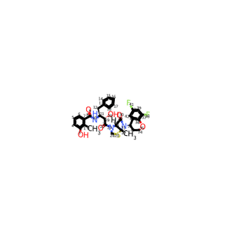 Cc1c(O)cccc1C(=O)N[C@@H](Cc1ccccc1)[C@H](O)C(=O)N1CSC2(C)[C@H]1C(=O)N2[C@H]1CCOc2c(F)cc(F)cc21